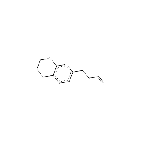 O=CCCc1ccc2c(n1)NCCC2